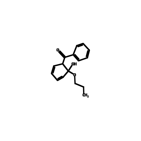 CCCOC1(O)C=CC=CC1C(=O)c1ccccc1